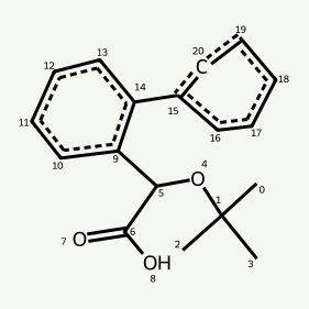 CC(C)(C)OC(C(=O)O)c1ccccc1-c1ccccc1